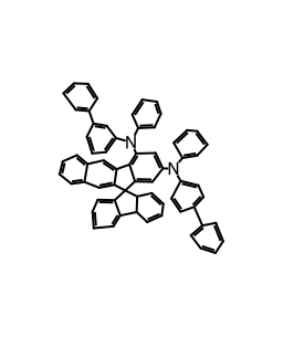 C1=CC2c3ccccc3C3(c4cc5ccccc5cc4-c4c(N(c5ccccc5)c5cccc(-c6ccccc6)c5)cc(N(c5ccccc5)c5ccc(-c6ccccc6)cc5)cc43)C2C=C1